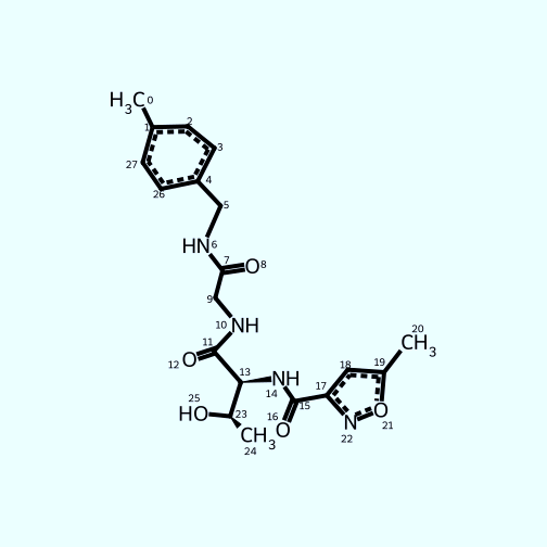 Cc1ccc(CNC(=O)CNC(=O)[C@@H](NC(=O)c2cc(C)on2)[C@@H](C)O)cc1